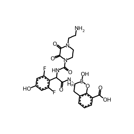 NCCN1CCN(C(=O)NC(C(=O)N[C@H]2Cc3cccc(C(=O)O)c3OB2O)c2c(F)cc(O)cc2F)C(=O)C1=O